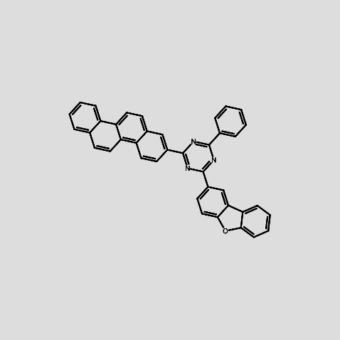 c1ccc(-c2nc(-c3ccc4c(ccc5c6ccccc6ccc45)c3)nc(-c3ccc4oc5ccccc5c4c3)n2)cc1